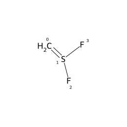 C=S(F)F